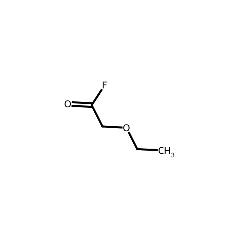 CCOCC(=O)F